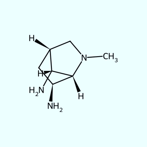 CN1C[C@H]2C[C@H](N)[C@@H]1[C@@H]2N